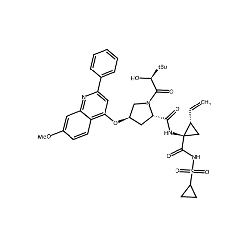 C=C[C@@H]1C[C@]1(NC(=O)[C@@H]1C[C@@H](Oc2cc(-c3ccccc3)nc3cc(OC)ccc23)CN1C(=O)[C@@H](O)C(C)(C)C)C(=O)NS(=O)(=O)C1CC1